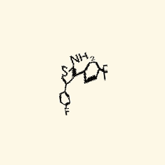 Nc1scc(-c2ccc(F)cc2)c1-c1ccc(F)cc1